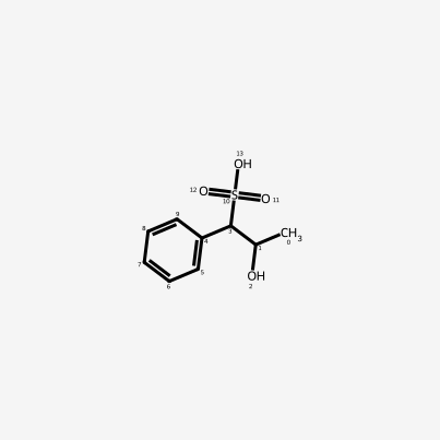 CC(O)C(c1ccccc1)S(=O)(=O)O